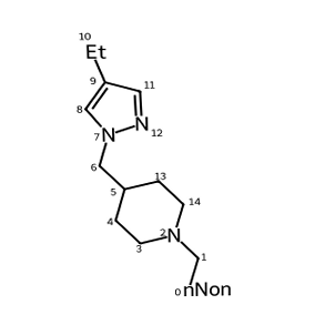 CCCCCCCCCCN1CCC(Cn2cc(CC)cn2)CC1